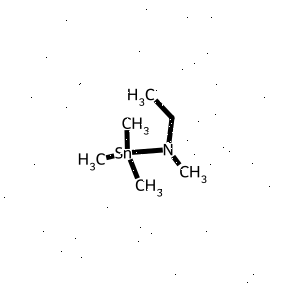 CC[N](C)[Sn]([CH3])([CH3])[CH3]